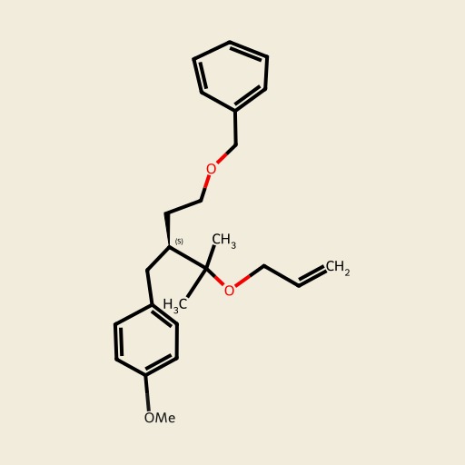 C=CCOC(C)(C)[C@H](CCOCc1ccccc1)Cc1ccc(OC)cc1